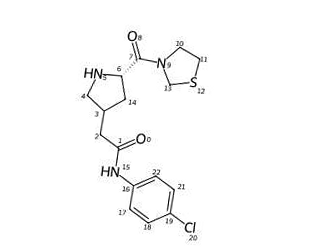 O=C(CC1CN[C@H](C(=O)N2CCSC2)C1)Nc1ccc(Cl)cc1